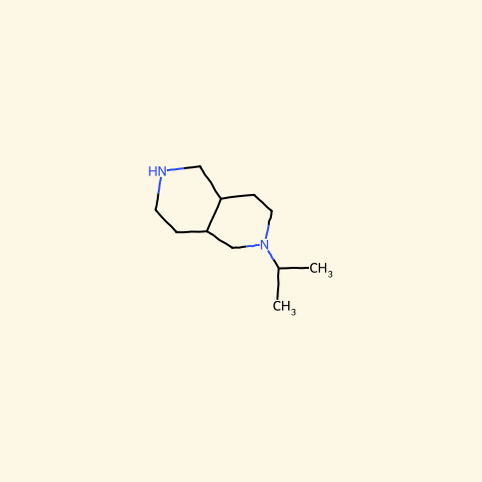 CC(C)N1CCC2CNCCC2C1